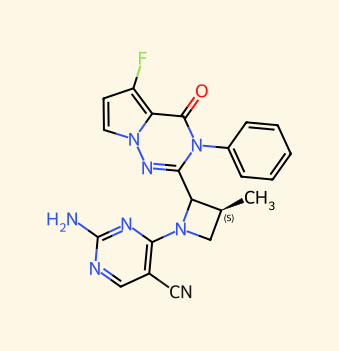 C[C@H]1CN(c2nc(N)ncc2C#N)C1c1nn2ccc(F)c2c(=O)n1-c1ccccc1